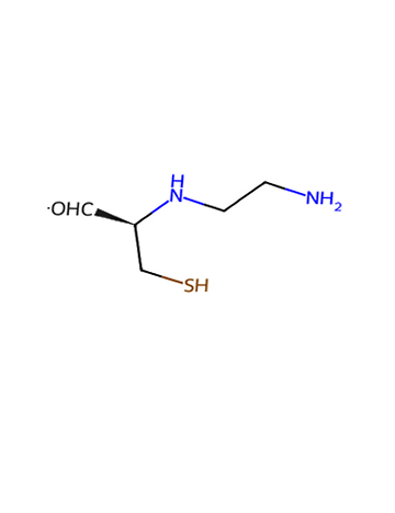 NCCN[C@H]([C]=O)CS